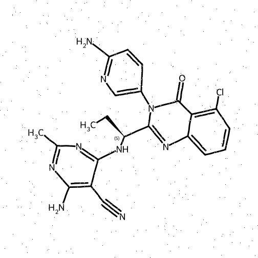 CC[C@H](Nc1nc(C)nc(N)c1C#N)c1nc2cccc(Cl)c2c(=O)n1-c1ccc(N)nc1